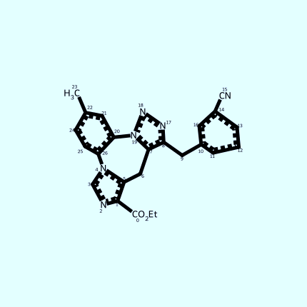 CCOC(=O)c1ncn2c1Cc1c(Cc3cccc(C#N)c3)nnn1-c1cc(C)ccc1-2